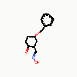 O=C1CCC(OCc2ccccc2)CC1/C=N/O